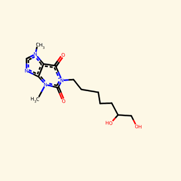 Cn1cnc2c1c(=O)n(CCCCCC(O)CO)c(=O)n2C